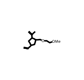 C=CC1CC(COCCOC)C(C(=C)C)C1